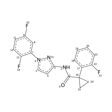 O=C(Nc1ccn(-c2cc(F)ccc2F)n1)C1(c2ccccc2F)CC1